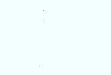 COc1ccc(C(=O)NN)c(-c2ccccc2)c1